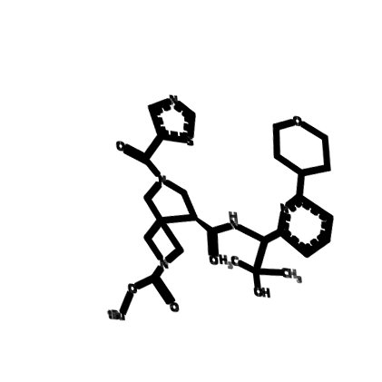 CC(C)(C)OC(=O)N1CC2(C1)CN(C(=O)c1cncs1)C[C@H]2C(=O)NC(c1cccc(C2CCOCC2)n1)C(C)(C)O